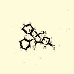 CC(C)(C)[Si](c1ccccc1)(c1ccccc1)C(O)C1CCC(=O)O1